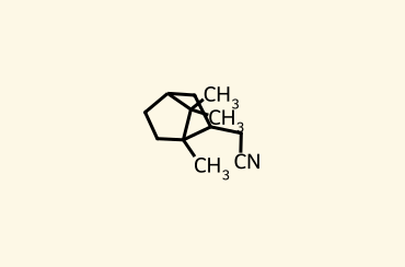 CC1(C)C2CCC1(C)C(CC#N)C2